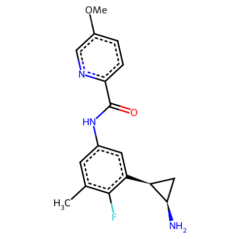 COc1ccc(C(=O)Nc2cc(C)c(F)c([C@H]3C[C@H]3N)c2)nc1